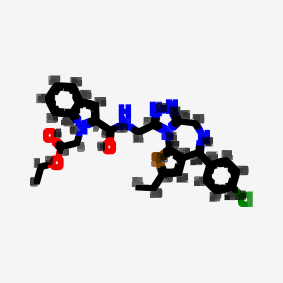 CCOC(=O)Cn1c(C(=O)NCc2nnc3n2-c2sc(CC)cc2C(c2ccc(Cl)cc2)=NC3)cc2ccccc21